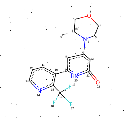 C[C@@H]1COCCN1c1cc(-c2cccnc2C(F)(F)F)[nH]c(=O)c1